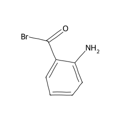 Nc1ccccc1C(=O)Br